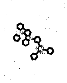 c1ccc(-c2nc(-c3ccccc3)nc(-c3cccc(-n4c5c(c6c4ccc4c7ccccc7n(-c7ccccc7)c46)CCCC5)c3)n2)cc1